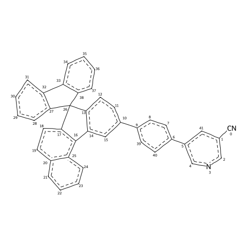 N#Cc1cncc(-c2ccc(-c3ccc4c(c3)-c3c(ccc5ccccc35)C43c4ccccc4-c4ccccc43)cc2)c1